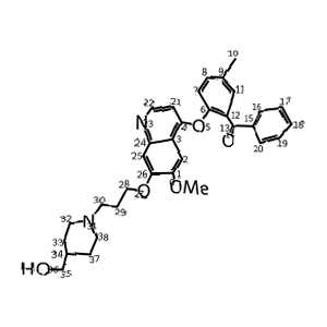 COc1cc2c(Oc3ccc(C)cc3C(=O)c3ccccc3)ccnc2cc1OCCCN1CCC(CO)CC1